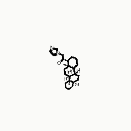 C[C@]12CCCC[C@@H]1CC[C@@H]1[C@@H]2CC[C@]2(C)[C@@H](C(=O)Cn3ccnc3)CCC[C@@H]12